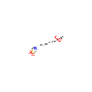 CC(C)(C)OC(=O)CCCCCCCCCCN1CCS(=O)(=O)CC1